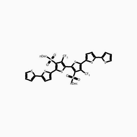 CCCCCCCCCCS(=O)(=O)c1c(-c2ccc(-c3cccs3)s2)sc(-c2sc(-c3ccc(-c4cccs4)s3)c(C(F)(F)F)c2S(=O)(=O)CCCCCCCCCC)c1C(F)(F)F